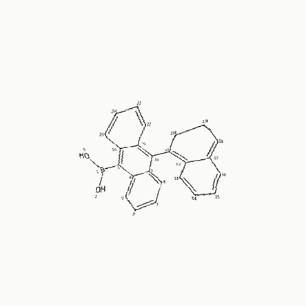 OB(O)c1c2ccccc2c(C2=c3ccccc3=CCC2)c2ccccc12